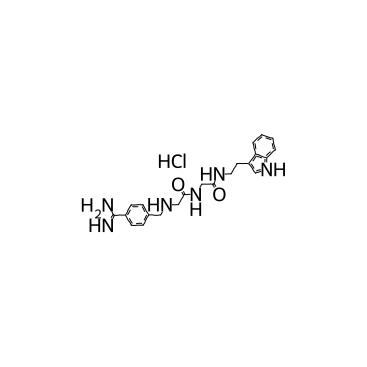 Cl.N=C(N)c1ccc(CNCC(=O)NCC(=O)NCCc2c[nH]c3ccccc23)cc1